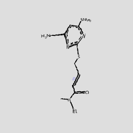 CCN(C)C(=O)/C=C/CSc1nc(N)cc(SC)n1